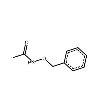 [CH2]C(=O)NOCc1ccccc1